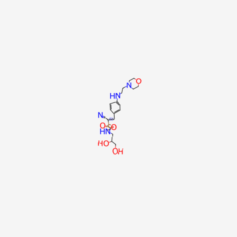 N#C/C(=C\c1ccc(NCCN2CCOCC2)cc1)S(=O)(=O)NCC(O)CO